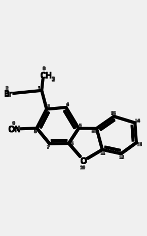 CC(Br)c1cc2c(cc1N=O)oc1ccccc12